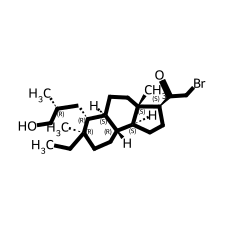 CC[C@]1(C)CC[C@@H]2[C@H](CC[C@]3(C)[C@@H](C(=O)CBr)CC[C@@H]23)[C@H]1C[C@@H](C)CO